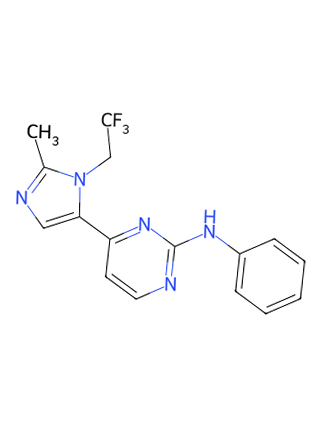 Cc1ncc(-c2ccnc(Nc3ccccc3)n2)n1CC(F)(F)F